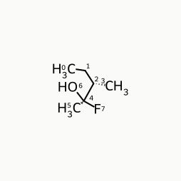 CC[C@H](C)[C@](C)(O)F